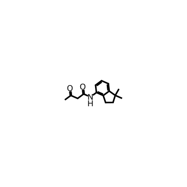 CC(=O)CC(=O)Nc1cccc2c1CCC2(C)C